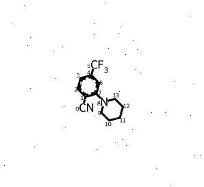 N#[14C]c1ccc(C(F)(F)F)cc1N1CCCCC1